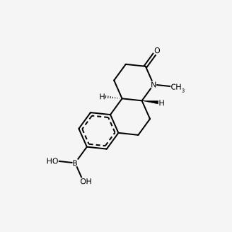 CN1C(=O)CC[C@@H]2c3ccc(B(O)O)cc3CC[C@H]21